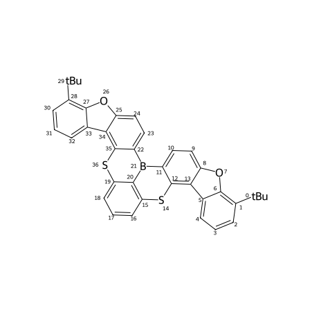 CC(C)(C)c1cccc2c1oc1ccc3c(c12)Sc1cccc2c1B3c1ccc3oc4c(C(C)(C)C)cccc4c3c1S2